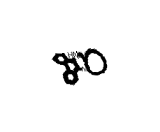 c1ccc2c(c1)c1c(c3ccccc32)NC2(CCCCCCCCCC2)CN1